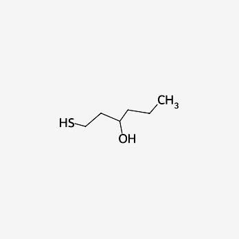 CCCC(O)CCS